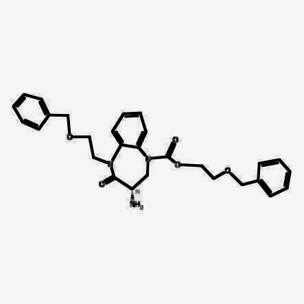 N[C@H]1CN(C(=O)OCCOCc2ccccc2)c2ccccc2N(CCOCc2ccccc2)C1=O